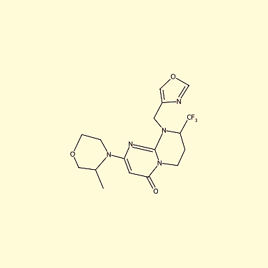 CC1COCCN1c1cc(=O)n2c(n1)N(Cc1cocn1)C(C(F)(F)F)CC2